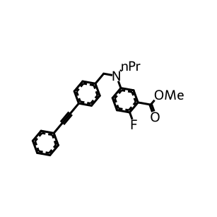 CCCN(Cc1ccc(C#Cc2ccccc2)cc1)c1ccc(F)c(C(=O)OC)c1